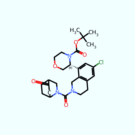 CC(C)(C)OC(=O)N1CCOC[C@H]1c1cc(Cl)cc2c1CN(C(=O)N1CC3CCC1CC3=O)CC2